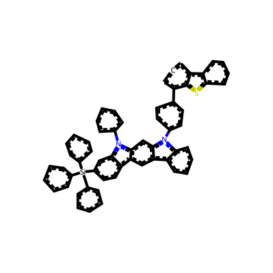 c1ccc(-n2c3cc([Si](c4ccccc4)(c4ccccc4)c4ccccc4)ccc3c3cc4c5ccccc5n(-c5ccc(-c6cccc7c6sc6ccccc67)cc5)c4cc32)cc1